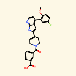 COc1ccc(F)cc1-c1ccnc2[nH]c(C3=CCN(C(=O)c4cccc(C(=O)O)c4)CC3)cc12